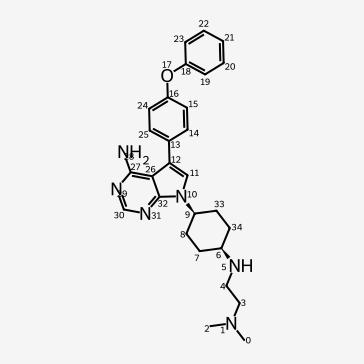 CN(C)CCN[C@H]1CC[C@@H](n2cc(-c3ccc(Oc4ccccc4)cc3)c3c(N)ncnc32)CC1